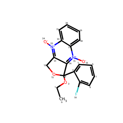 CCOC1(c2ccccc2F)OCc2c1[n+]([O-])c1ccccc1[n+]2[O-]